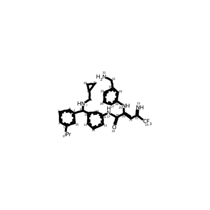 CC(C)c1cccc(C(NCC2CC2)c2cccc(NC(=O)/C(=C/C(=N)C(F)(F)F)Nc3cccc(CN)c3)c2)c1